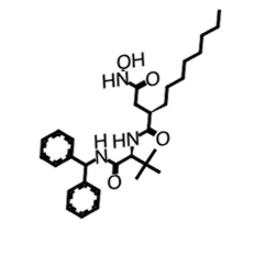 CCCCCCCC[C@H](CC(=O)NO)C(=O)N[C@H](C(=O)NC(c1ccccc1)c1ccccc1)C(C)(C)C